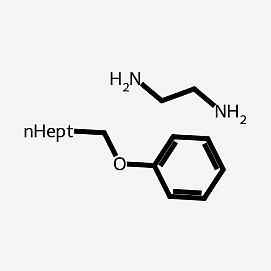 CCCCCCCCOc1ccccc1.NCCN